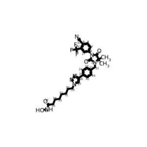 CC1(C)C(=O)N(c2ccc(C#N)c(C(F)(F)F)c2)C(=O)N1Cc1ccc(-c2cn(CCCCCCCC(=O)NO)nn2)cc1